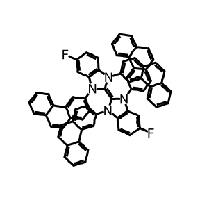 Fc1ccc2c(c1)N(c1ccc3ccc4ccccc4c3c1)/C(=C1\N(c3ccc4ccc5ccccc5c4c3)c3ccc(F)cc3N1c1ccc3ccc4ccccc4c3c1)N2c1ccc2ccc3ccccc3c2c1